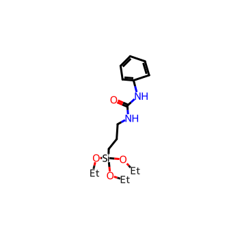 CCO[Si](CCCNC(=O)Nc1ccccc1)(OCC)OCC